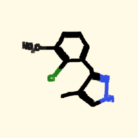 Cc1c[nH]nc1-c1cccc(C(=O)O)c1Cl